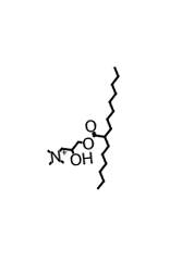 CCCCCCCCC(CCCCCC)C(=O)OCC(O)C[N+](C)(C)C